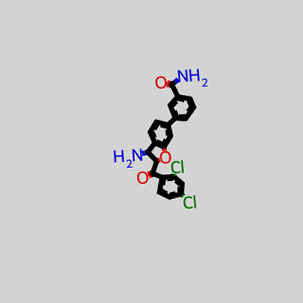 NC(=O)c1cccc(-c2ccc3c(c2)OC(C(=O)c2ccc(Cl)cc2Cl)C3N)c1